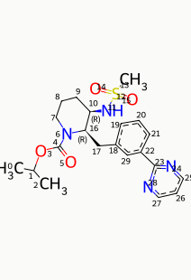 CC(C)OC(=O)N1CCC[C@@H](NS(C)(=O)=O)[C@H]1Cc1cccc(-c2ncccn2)c1